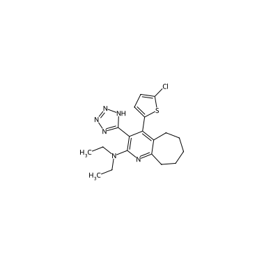 CCN(CC)c1nc2c(c(-c3ccc(Cl)s3)c1-c1nnn[nH]1)CCCCC2